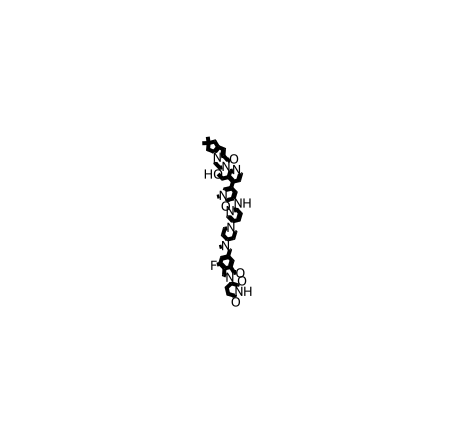 CN(Cc1cc(F)c2c(c1)C(=O)N(C1CCC(=O)NC1=O)C2)C1CCN(c2ccc(Nc3cc(-c4ccnc(N5CCn6c(cc7c6CC(C)(C)C7)C5=O)c4CO)cn(C)c3=O)nc2)CC1